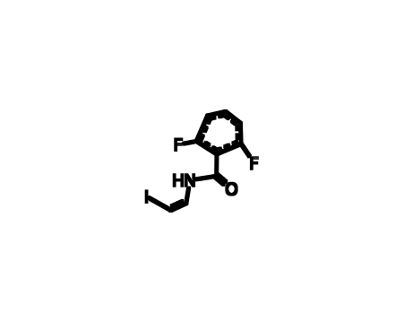 O=C(N/C=C\I)c1c(F)cccc1F